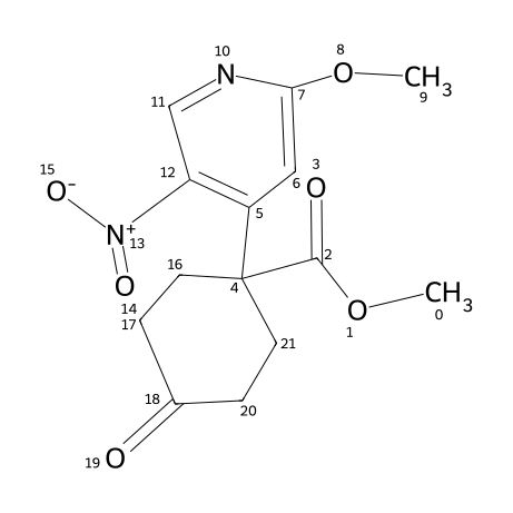 COC(=O)C1(c2cc(OC)ncc2[N+](=O)[O-])CCC(=O)CC1